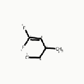 CC(C=C(F)F)CCl